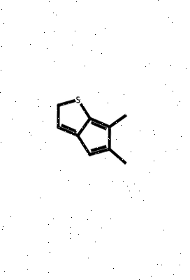 CC1=CC2=CCSC2=C1C